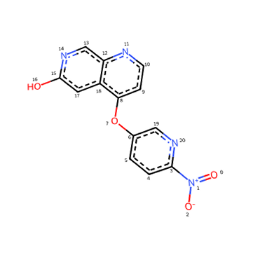 O=[N+]([O-])c1ccc(Oc2ccnc3cnc(O)cc23)cn1